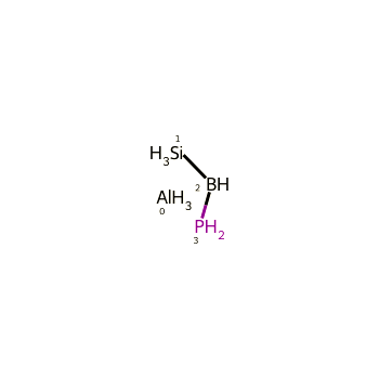 [AlH3].[SiH3]BP